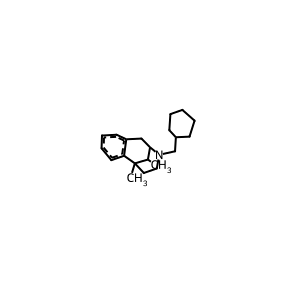 CC1C2Cc3ccccc3C1(C)CCN2CC1CCCCC1